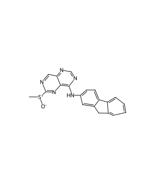 C[S+]([O-])c1ncc2ncnc(Nc3ccc4c(c3)Cc3ccccc3-4)c2n1